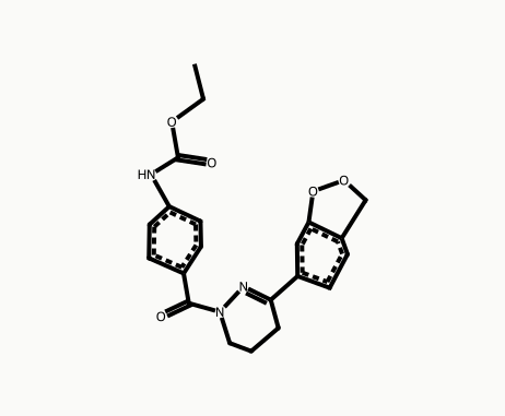 CCOC(=O)Nc1ccc(C(=O)N2CCCC(c3ccc4c(c3)OOC4)=N2)cc1